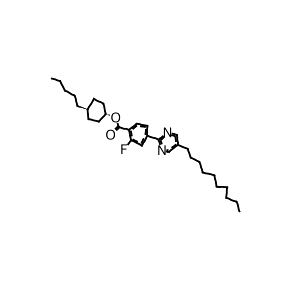 CCCCCCCCCCc1cnc(-c2ccc(C(=O)O[C@H]3CC[C@H](CCCCC)CC3)c(F)c2)nc1